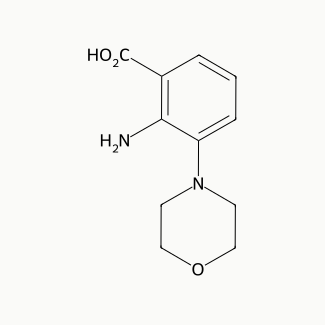 Nc1c(C(=O)O)cccc1N1CCOCC1